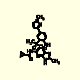 Cc1nc2c(Nc3ccc(-c4ccn(C)n4)cc3P(C)(C)=O)cc(NC(=O)C3CC3)nc2[nH]1